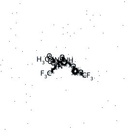 CS(=O)(=O)CC(=O)Nc1c2c(nn1CCCCC(F)(F)F)C[C@H](CCOc1cccc(OCC(F)(F)F)c1)NC2=O